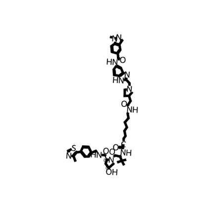 Cc1ncsc1-c1ccc(CNC(=O)[C@@H]2C[C@@H](O)CN2C(=O)C(NC(=O)CCCCCCCCNC(=O)CC2CCN(Cc3nc4cc(NC(=O)c5ccc6c(cnn6C)c5)ccc4[nH]3)C2)C(C)(C)C)cc1